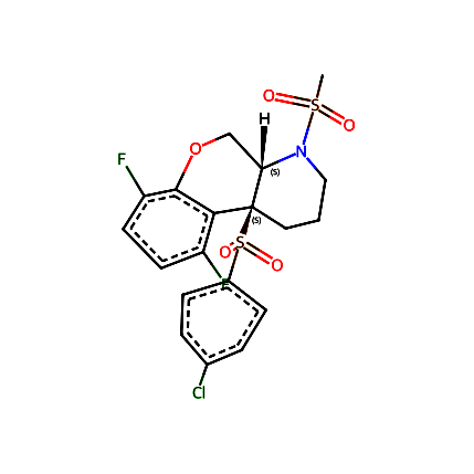 CS(=O)(=O)N1CCC[C@]2(S(=O)(=O)c3ccc(Cl)cc3)c3c(F)ccc(F)c3OC[C@H]12